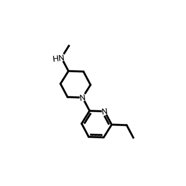 CCc1cccc(N2CCC(NC)CC2)n1